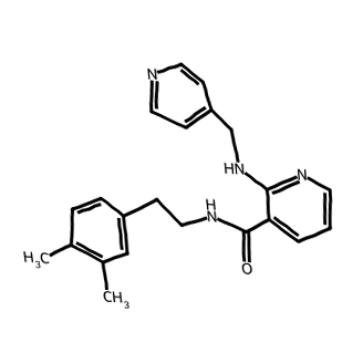 Cc1ccc(CCNC(=O)c2cccnc2NCc2ccncc2)cc1C